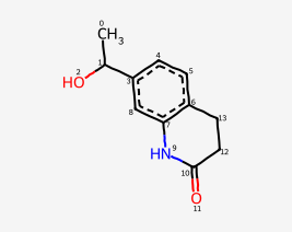 CC(O)c1ccc2c(c1)NC(=O)CC2